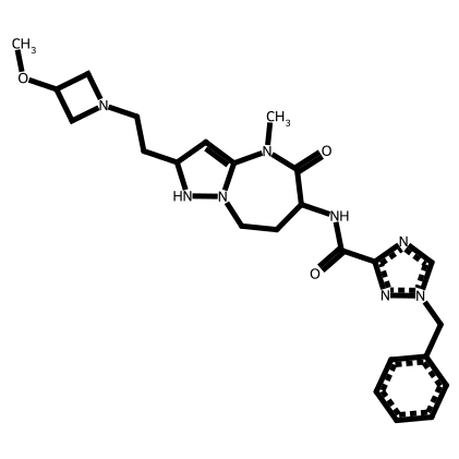 COC1CN(CCC2C=C3N(CCC(NC(=O)c4ncn(Cc5ccccc5)n4)C(=O)N3C)N2)C1